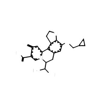 CC(C)C1Cc2cc(OCC3CC3)c3c(c2-c2cc(=O)c(C(=O)O)cn21)CCO3